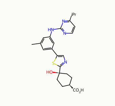 Cc1cc(Nc2nccc(C(C)C)n2)cc(-c2cnc([C@]3(O)CC[C@@H](C(=O)O)CC3)s2)c1